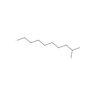 [CH2]CCCCCCCC(C)C